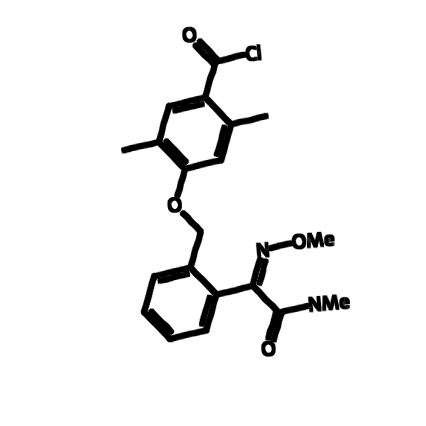 CNC(=O)C(=NOC)c1ccccc1COc1cc(C)c(C(=O)Cl)cc1C